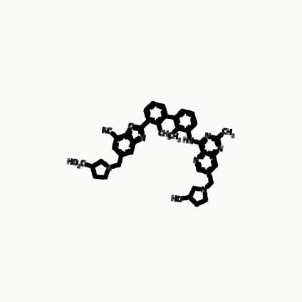 Cc1nc(Nc2cccc(-c3cccc(-c4nc5cc(CN6CCC(C(=O)O)C6)cc(C#N)c5o4)c3C)c2C)c2ncc(CN3CCC(O)C3)cc2n1